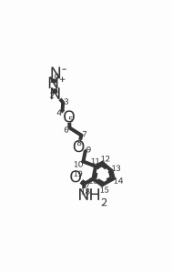 [N-]=[N+]=NCCOCCOCCc1ccccc1C(N)=O